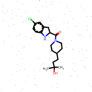 CC(C)(O)CCC1CCN(C(=O)C2Cc3cc(Cl)ccc3N2)CC1